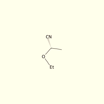 CCO[C@@H](C)C#N